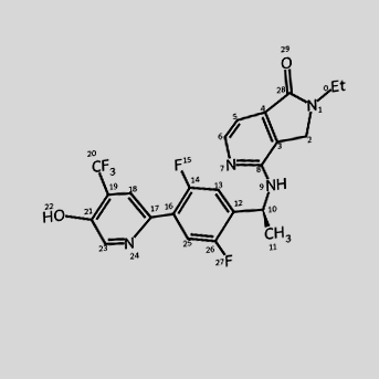 CCN1Cc2c(ccnc2N[C@@H](C)c2cc(F)c(-c3cc(C(F)(F)F)c(O)cn3)cc2F)C1=O